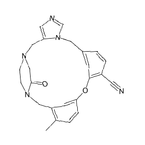 Cc1ccc2cc1CN1CCN(CC1=O)Cc1cncn1Cc1ccc(C#N)c(c1)O2